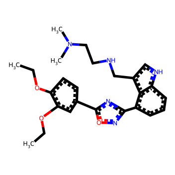 CCOc1ccc(-c2nc(-c3cccc4[nH]cc(CNCCN(C)C)c34)no2)cc1OCC